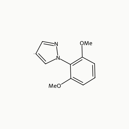 COc1cccc(OC)c1-n1c[c]cn1